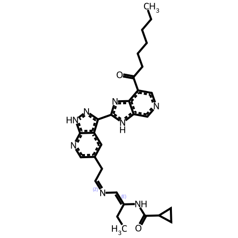 CCCCCCC(=O)c1cncc2[nH]c(-c3n[nH]c4ncc(C/C=N\C=C(/CC)NC(=O)C5CC5)cc34)nc12